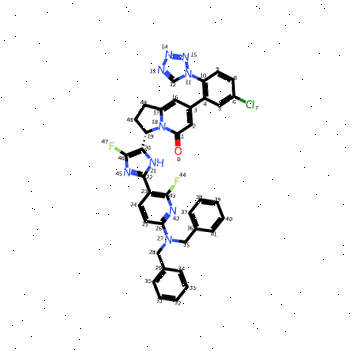 O=c1cc(-c2cc(Cl)ccc2-n2cnnn2)cc2n1[C@H](c1[nH]c(-c3ccc(N(Cc4ccccc4)Cc4ccccc4)nc3F)nc1F)CC2